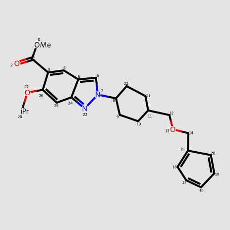 COC(=O)c1cc2cn(C3CCC(COCc4ccccc4)CC3)nc2cc1OC(C)C